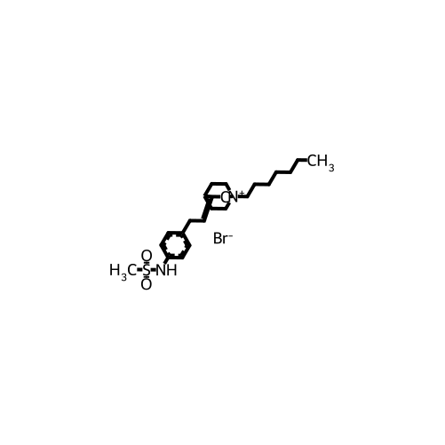 CCCCCCC[N+]12CCC(CC1)C(=CCc1ccc(NS(C)(=O)=O)cc1)C2.[Br-]